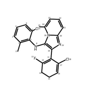 Cc1cccc(Cl)c1Nc1c(C2=C(F)CCC=C2Cl)nc2cccc(C)n12